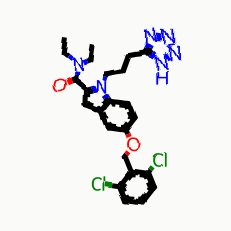 CCN(CC)C(=O)c1cc2cc(OCc3c(Cl)cccc3Cl)ccc2n1CCCc1nnn[nH]1